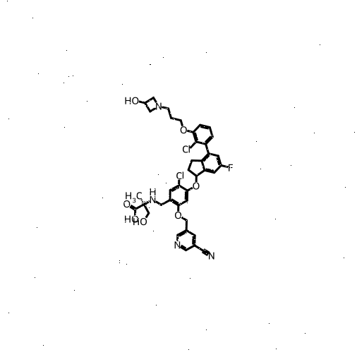 C[C@@](CO)(NCc1cc(Cl)c(OC2CCc3c(-c4cccc(OCCCN5CC(O)C5)c4Cl)cc(F)cc32)cc1OCc1cncc(C#N)c1)C(=O)O